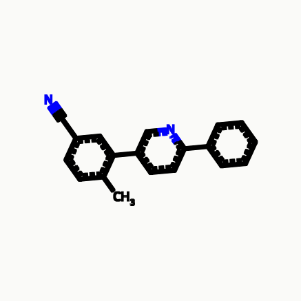 Cc1ccc(C#N)cc1-c1ccc(-c2ccccc2)nc1